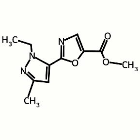 CCn1nc(C)cc1-c1ncc(C(=O)OC)o1